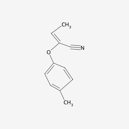 CC=C(C#N)Oc1ccc(C)cc1